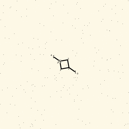 IC1CN(I)C1